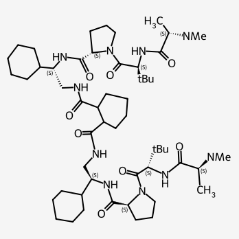 CN[C@@H](C)C(=O)N[C@H](C(=O)N1CCC[C@H]1C(=O)N[C@H](CNC(=O)C1CCCCC1C(=O)NC[C@@H](NC(=O)[C@@H]1CCCN1C(=O)[C@@H](NC(=O)[C@H](C)NC)C(C)(C)C)C1CCCCC1)C1CCCCC1)C(C)(C)C